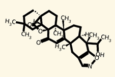 CC(O)[C@]1(C)c2oncc2C[C@]2(C)C3=CC(=O)[C@]45OC(=O)[C@@]6(CCC(C)(C)C[C@H]64)CC[C@@]5(C)[C@]3(C)CC[C@@H]12